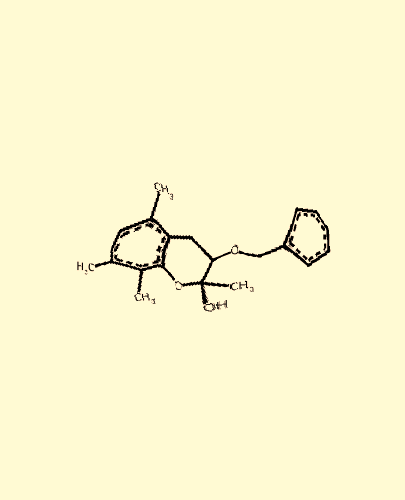 Cc1cc(C)c2c(c1C)OC(C)(O)C(OCc1ccccc1)C2